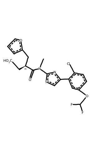 CN(C(=O)[C@@H](CC(=O)O)Cc1ccco1)c1nc(-c2cc(OC(F)F)ccc2Cl)cs1